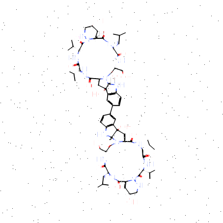 CC(C)C[C@@H]1NC(=O)[C@H]2C[C@@H](O)CNN2C(=O)[C@H](C(C)C)NC(=O)[C@@H](C(C)C)NC(=O)[C@@H]2C[C@@]3(O)c4cc(-c5ccc6c(c5)[C@]5(O)C[C@H]7C(=O)N[C@H](C(C)C)C(=O)N[C@@H](C(C)C)C(=O)N8NC[C@H](O)C[C@@H]8C(=O)N[C@@H](CC(C)C)C(=O)N[C@H]([C@H](C)O)C(=O)N7[C@@H]5N6)ccc4N[C@H]3N2C(=O)[C@@H]([C@H](C)O)NC1=O